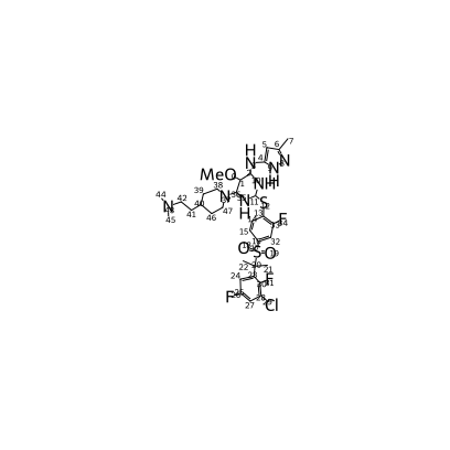 COC1C(Nc2cc(C)n[nH]2)NC(Sc2ccc(S(=O)(=O)C(C)(C)c3cc(F)cc(Cl)c3F)cc2F)NC1N1CCC(CCN(C)C)CC1